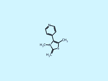 C=C1SC(C)=C(c2ccncc2)N1C